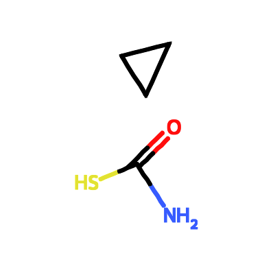 C1CC1.NC(=O)S